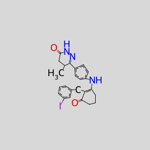 CC1CC(=O)NN=C1c1ccc(NC2=C(Cc3cccc(I)c3)C(=O)CCC2)cc1